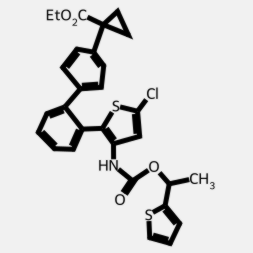 CCOC(=O)C1(c2ccc(-c3ccccc3-c3sc(Cl)cc3NC(=O)OC(C)c3cccs3)cc2)CC1